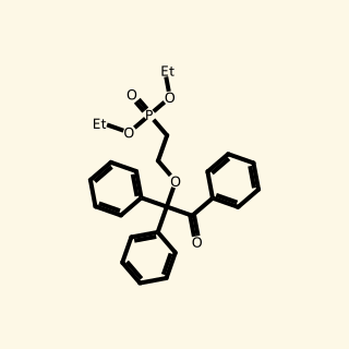 CCOP(=O)(CCOC(C(=O)c1ccccc1)(c1ccccc1)c1ccccc1)OCC